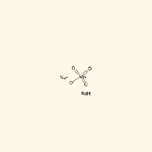 [Na+].[NaH].[O]=[Mn](=[O])(=[O])[O-]